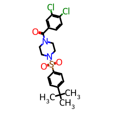 CC(C)(C)c1ccc(S(=O)(=O)N2CCN(C(=O)c3ccc(Cl)c(Cl)c3)CC2)cc1